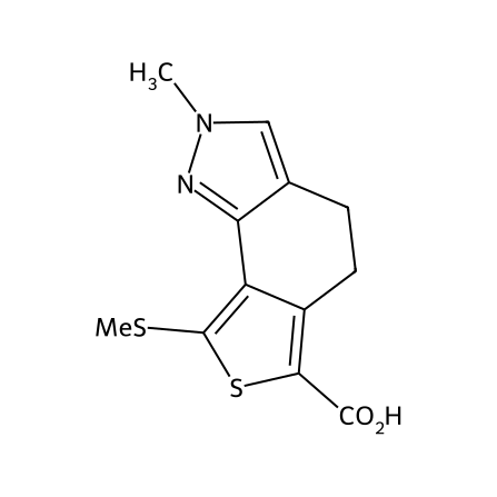 CSc1sc(C(=O)O)c2c1-c1nn(C)cc1CC2